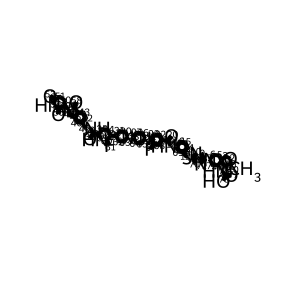 C[C@@H]1OCC2(CCN(c3cnc(Sc4cccc(NC(=O)c5ccc(N6CCC(N7CCC(C8CCC(C(=O)NCc9ccc%10c(c9)CN(C9CCC(=O)NC9=O)C%10=O)NC8F)CC7)CC6)c(F)c5)c4)cn3)CC2)[C@@H]1NC(=O)O